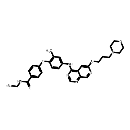 Cc1cc(Nc2ncnc3cnc(OCCCN4CCOCC4)cc23)ccc1Oc1ccc(C(=O)NCC(C)(C)C)cc1